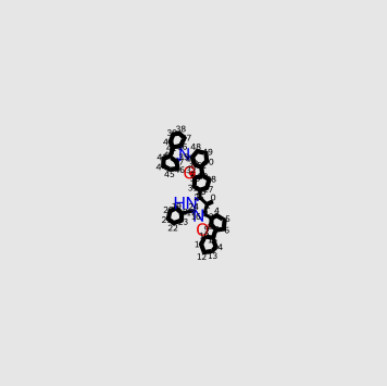 C=C1C(c2cccc3c2oc2ccccc23)N=C(c2ccccc2)NC1c1ccc2c(c1)oc1c(-n3c4ccccc4c4ccccc43)cccc12